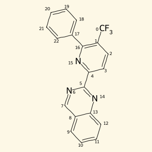 FC(F)(F)c1ccc(-c2ncc3ccccc3n2)nc1-c1ccccc1